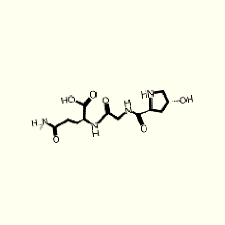 NC(=O)CC[C@H](NC(=O)CNC(=O)[C@@H]1C[C@@H](O)CN1)C(=O)O